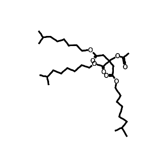 CC(=O)OC(CC(=O)OCCCCCCC(C)C)(CC(=O)OCCCCCCC(C)C)C(=O)OCCCCCCC(C)C